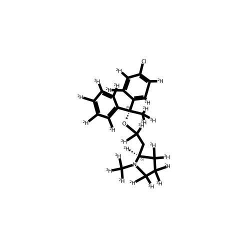 [2H]c1c([2H])c([2H])c([C@@](OC([2H])([2H])C[C@]2([2H])N(C([2H])([2H])[2H])C([2H])([2H])C([2H])([2H])C2([2H])[2H])(c2c([2H])c([2H])c(Cl)c([2H])c2[2H])C([2H])([2H])[2H])c([2H])c1[2H]